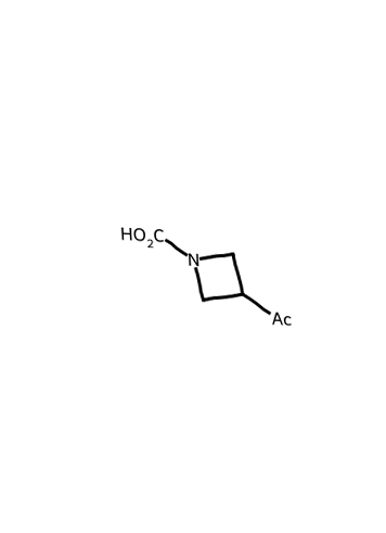 CC(=O)C1CN(C(=O)O)C1